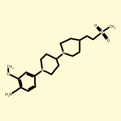 COc1cc(N2CCC(N3CCC(CCS(C)(=O)=O)CC3)CC2)ccc1N